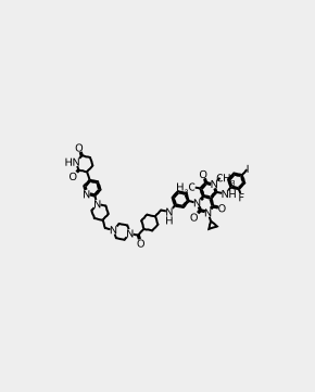 Cc1c(=O)n(C)c(Nc2ccc(I)cc2F)c2c(=O)n(C3CC3)c(=O)n(-c3cccc(NCC4CCC(C(=O)N5CCN(CC6CCN(c7ccc(C8CCC(=O)NC8=O)cn7)CC6)CC5)CC4)c3)c12